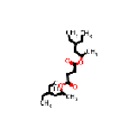 CCC(CC)CC(C)OC(=O)CCC(=O)OC(C)CC(CC)CC